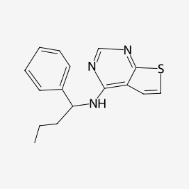 CCCC(Nc1ncnc2sccc12)c1ccccc1